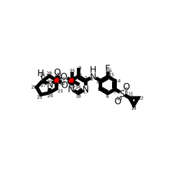 Cc1c(Nc2ccc(S(=O)(=O)C3CC3)cc2F)ncnc1O[C@H]1CC2CC[C@@H](C1)N2C(=O)OC(C)C